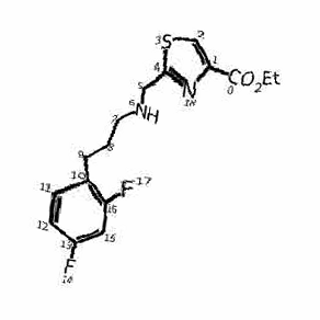 CCOC(=O)c1csc(CNCCCc2ccc(F)cc2F)n1